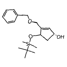 CC(C)(C)[Si](C)(C)OC1C[C@@H](O)C=C1COCc1ccccc1